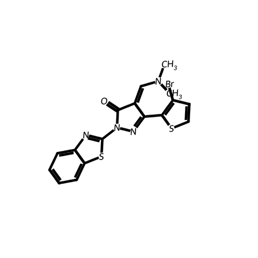 CN(C)/C=C1/C(=O)N(c2nc3ccccc3s2)N=C1c1sccc1Br